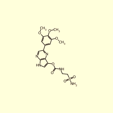 COc1cc(-c2cnc3[nH]cc(OC(=O)NCCS(N)(=O)=O)c3n2)cc(OC)c1OC